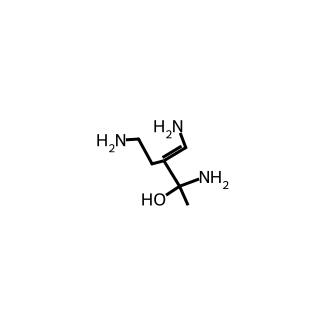 CC(N)(O)C(=CN)CCN